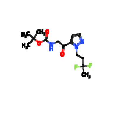 CC(F)(F)CCn1nccc1C(=O)CNC(=O)OC(C)(C)C